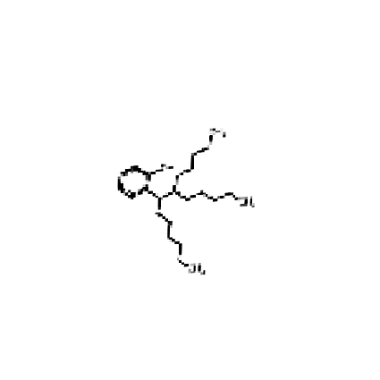 CCCCCCC(c1ccccc1O)C(CCCCC)CCCCC